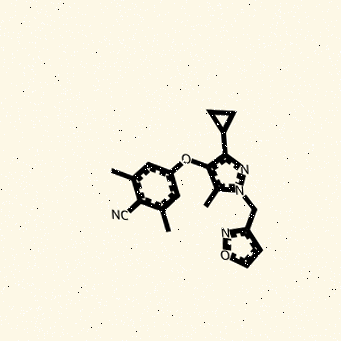 Cc1cc(Oc2c(C3CC3)nn(Cc3ccon3)c2C)cc(C)c1C#N